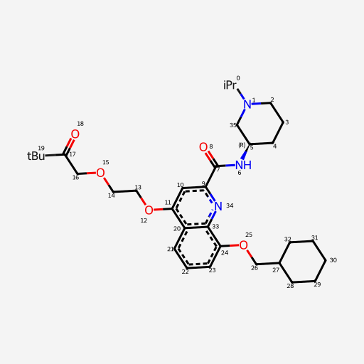 CC(C)N1CCC[C@@H](NC(=O)c2cc(OCCOCC(=O)C(C)(C)C)c3cccc(OCC4CCCCC4)c3n2)C1